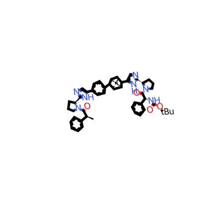 C[C@H](C(=O)N1CCC[C@H]1c1ncc(-c2ccc(C34CCC(c5cnc([C@@H]6CCCN6C(=O)[C@H](NC(=O)OC(C)(C)C)c6ccccc6)[nH]5)(CC3)CC4)cc2)[nH]1)c1ccccc1